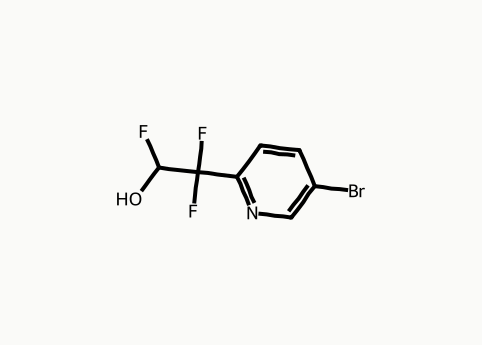 OC(F)C(F)(F)c1ccc(Br)cn1